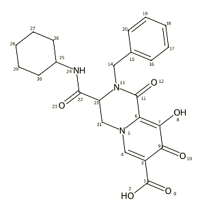 O=C(O)c1cn2c(c(O)c1=O)C(=O)N(Cc1ccccc1)C(C(=O)NC1CCCCC1)C2